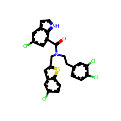 O=C(c1cc(Cl)cc2cc[nH]c12)N(CCc1ccc(Cl)c(Cl)c1)Cc1cc2cc(Cl)ccc2s1